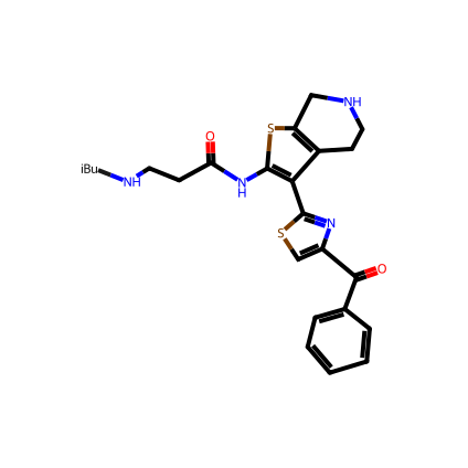 CCC(C)NCCC(=O)Nc1sc2c(c1-c1nc(C(=O)c3ccccc3)cs1)CCNC2